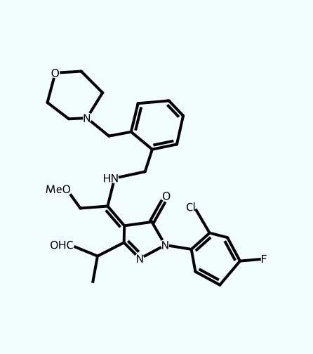 COCC(NCc1ccccc1CN1CCOCC1)=C1C(=O)N(c2ccc(F)cc2Cl)N=C1C(C)C=O